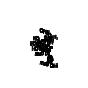 COc1cc(-c2cc(=O)c3c(O)c(OC)c(OC4OC(COC(=O)CC(C)(O)COC=O)C(O)C(O)C4O)c(OC)c3o2)ccc1O